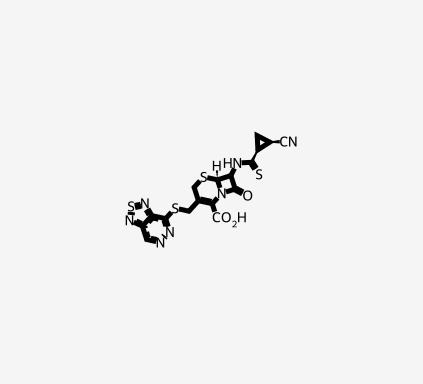 N#C[C@@H]1C[C@@H]1C(=S)NC1C(=O)N2C(C(=O)O)=C(CSc3nncc4nsnc34)CS[C@@H]12